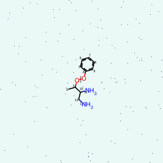 CC(OOc1ccccc1)C(N)CN